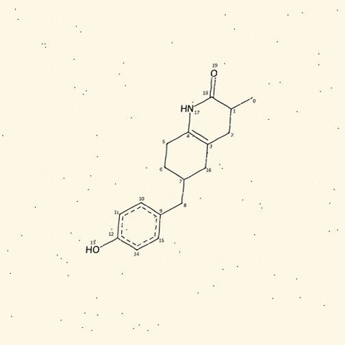 CC1CC2=C(CCC(Cc3ccc(O)cc3)C2)NC1=O